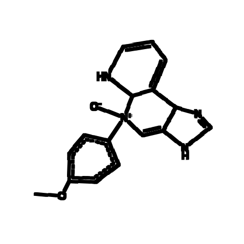 COc1ccc([N+]2([O-])C=C3NC=NC3C3=CC=CNC32)cc1